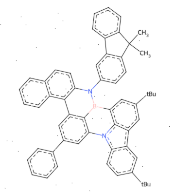 CC(C)(C)c1ccc2c(c1)c1cc(C(C)(C)C)cc3c1n2-c1cc(-c2ccccc2)cc2c1B3N(c1ccc3c(c1)-c1ccccc1C3(C)C)c1ccc3ccccc3c1-2